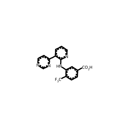 O=C(O)c1ccc(C(F)(F)F)c(Nc2ncccc2-c2ccncn2)c1